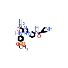 CS(=O)(=O)c1ccc(Nc2nc(N3CCCC(NC(=O)C4C5CNCC54)C3)cnc2C(N)=O)cc1